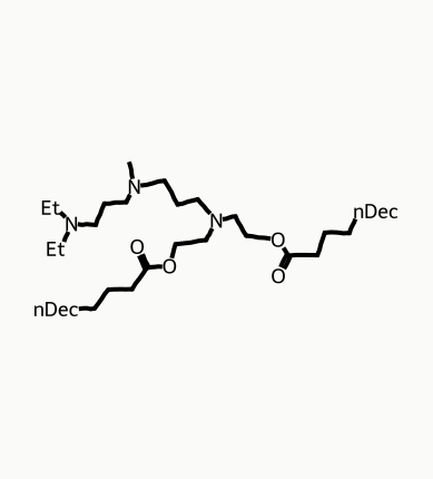 CCCCCCCCCCCCCC(=O)OCCN(CCCN(C)CCCN(CC)CC)CCOC(=O)CCCCCCCCCCCCC